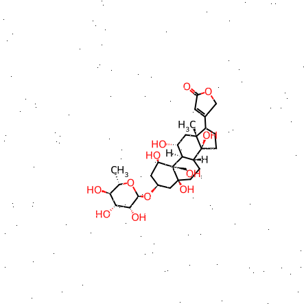 C[C@@H]1O[C@@H](O[C@H]2C[C@@H](O)[C@]3(CO)[C@H]4[C@H](O)C[C@]5(C)C(C6=CC(=O)OC6)CC[C@]5(O)[C@@H]4CC[C@]3(O)C2)[C@H](O)[C@H](O)[C@H]1O